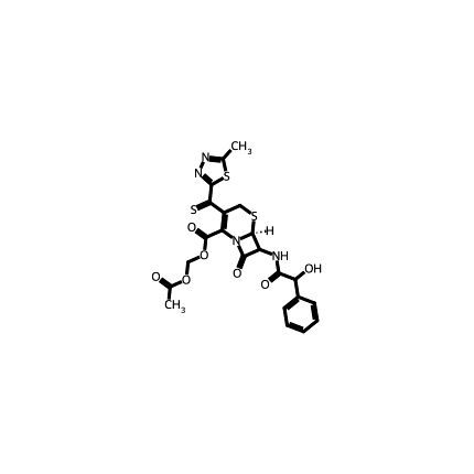 CC(=O)OCOC(=O)C1=C(C(=S)c2nnc(C)s2)CS[C@H]2C(NC(=O)C(O)c3ccccc3)C(=O)N12